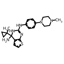 CN1CCN(c2ccc(NC3=Nc4sccc4C(N)(C4(C)CC4)N3)cc2)CC1